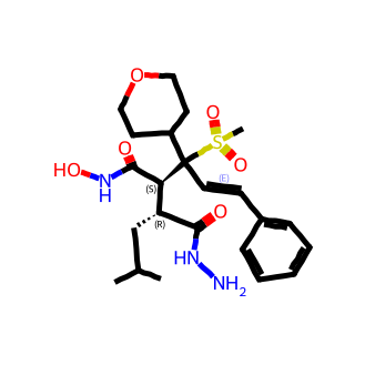 CC(C)C[C@@H](C(=O)NN)[C@@H](C(=O)NO)C(/C=C/c1ccccc1)(C1CCOCC1)S(C)(=O)=O